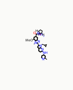 COc1cc(C(=O)N2C[C@H]3CC[C@@H]2[C@@H]3N)cc2nc(-c3cc4ccc(Nc5ccnc(C)c5)nc4n3CC3CC3)n(C)c12